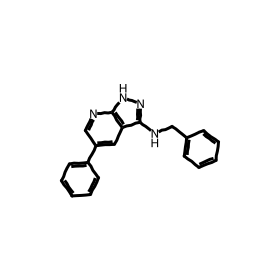 c1ccc(CNc2n[nH]c3ncc(-c4ccccc4)cc23)cc1